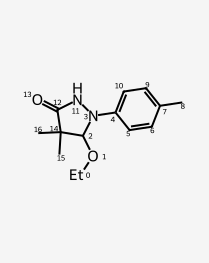 CCOC1N(c2ccc(C)cc2)NC(=O)C1(C)C